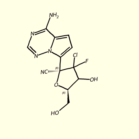 N#C[C@@]1(c2ccc3c(N)ncnn23)O[C@H](CO)C(O)C1(F)Cl